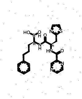 O=C(N[C@H](Cc1nccs1)C(=O)N[C@@H](CCCc1ccccc1)B(O)O)c1cnccn1